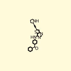 O=C(c1ccccc1)c1ccc(Nc2ncnc3cc(C#CC4CCCN4)sc23)cc1